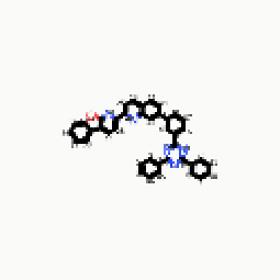 c1ccc(-c2nc(-c3ccccc3)nc(-c3cccc(-c4ccc5ccc(-c6ccc7c(n6)oc6ccccc67)nc5c4)c3)n2)cc1